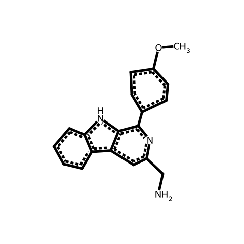 COc1ccc(-c2nc(CN)cc3c2[nH]c2ccccc23)cc1